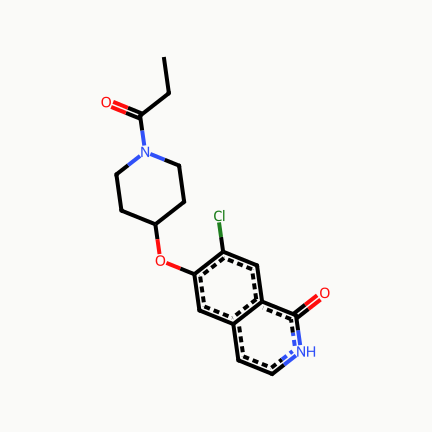 CCC(=O)N1CCC(Oc2cc3cc[nH]c(=O)c3cc2Cl)CC1